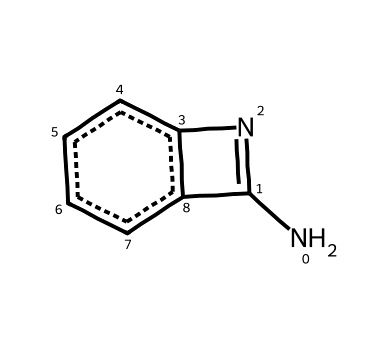 NC1=Nc2ccccc21